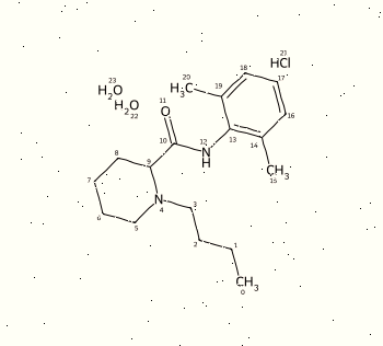 CCCCN1CCCCC1C(=O)Nc1c(C)cccc1C.Cl.O.O